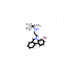 CC(C)(C)NCC[n+]1cc2ccccc2c2ccccc21.[Br-]